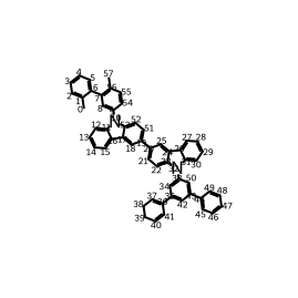 Cc1ccccc1-c1cc(-n2c3ccccc3c3cc(-c4ccc5c(c4)c4ccccc4n5-c4cc(C5=CCCC=C5)cc(-c5ccccc5)c4)ccc32)ccc1C